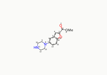 COC(=O)c1cc2cc(N3CCNCC3)ccc2o1